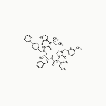 CC[C@H](C)[C@@H](C(=O)NN(Cc1ccc(-c2ccccn2)cc1)C[C@@H](O)[C@H](Cc1ccccc1)NC(=O)[C@H]([C@@H](C)CC)N1CCN(Cc2cccc(C)n2)C1=O)N1CCNC1=O